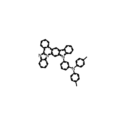 Cc1ccc(N(c2ccc(C)cc2)c2cccc(-n3c4ccccc4c4cc5c6ccccc6c6nc7ccccc7n6c5cc43)c2)cc1